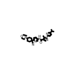 Cc1c(C(=O)Nc2ccc(C3(C#N)CCC(N4CCOCC4)CC3)nc2)cnn1-c1ccc(C(C)C)cn1